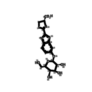 O=C(O)[C@H]1CSC(c2nc3ccc(O[C@@H]4O[C@H](CO)[C@H](O)[C@H](O)[C@H]4O)cc3s2)=N1